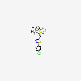 CC(C)(C)[S+]([O-])/N=C/c1cnc(-c2ccc(Cl)cc2)s1